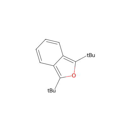 CC(C)(C)c1oc(C(C)(C)C)c2ccccc12